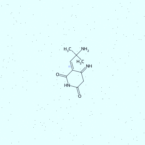 CC(C)(N)/C=C1\C(=N)CC(=O)NC1=O